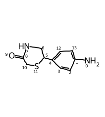 Nc1ccc(C2CNC(=O)CS2)cc1